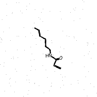 [CH2]CCCCCNC(=O)C=C